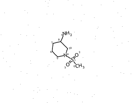 CS(=O)(=O)N1CCCC(N)C1